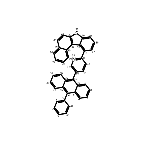 c1ccc(-c2c3ccccc3c(-c3ccc(-c4cccc5sc6ccc7ccccc7c6c45)nc3)c3ccccc23)cc1